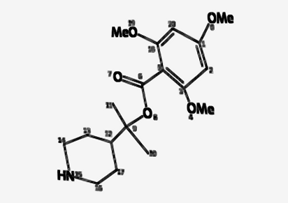 COc1cc(OC)c(C(=O)OC(C)(C)C2CCNCC2)c(OC)c1